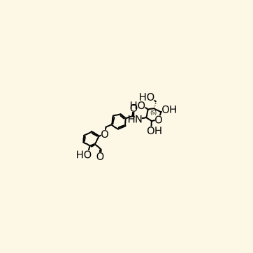 O=Cc1c(O)cccc1OCc1ccc(C(=O)NC2C(O)OC(O)[C@@H](CO)C2O)cc1